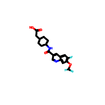 O=C(O)CC1CCC(NC(=O)c2cnc3cc(OC(F)F)c(F)cc3c2)CC1